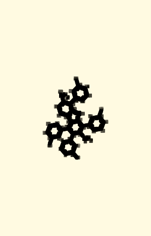 Cc1cccc(-c2c(N)c(-c3cccc(C)c3)c3oc4c(-c5cccc(C)c5)c(N)ccc4c3c2-c2cccc(C)c2)c1